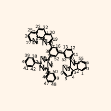 C1=CC2c3cccnc3N(c3cccc(-c4cc(-c5ccc6ccc7cccnc7c6n5)cc(-c5nc(-c6ccccc6)nc(-c6ccccc6)n5)c4)c3)C2C=C1